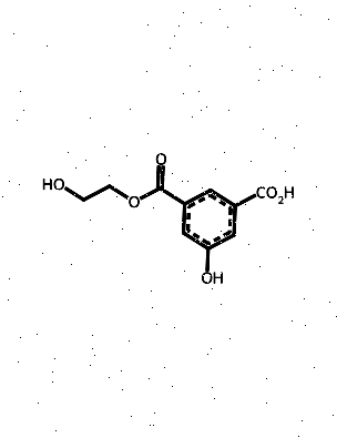 O=C(O)c1cc(O)cc(C(=O)OCCO)c1